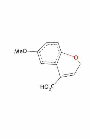 COc1ccc2c(c1)C(C(=O)O)=CCO2